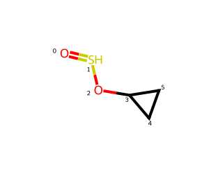 O=[SH]OC1CC1